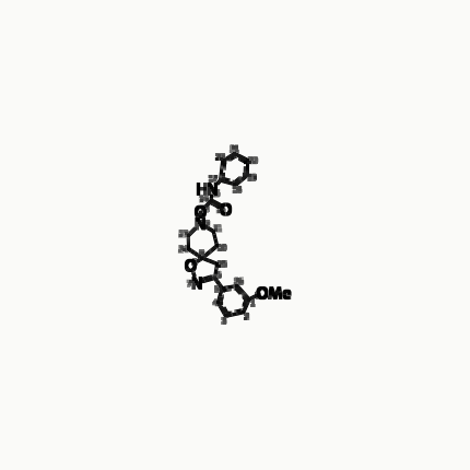 COc1cccc(C2=NOC3(CCN(OC(=O)Nc4ccccc4)CC3)C2)c1